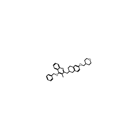 Cc1c(CC2CCc3cc(OCC4CCOCC4)ccc3C2)nc2ccccc2c1OCc1ccccc1